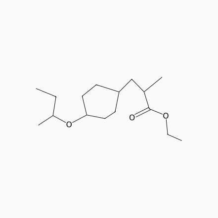 CCOC(=O)C(C)CC1CCC(OC(C)CC)CC1